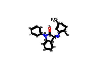 Cc1ccc(C(F)(F)F)cc1/N=C1\C(=O)N(c2ccccc2)c2ccccc21